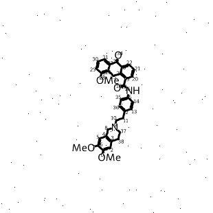 COc1cc2c(cc1OC)CN(CCc1ccc(NC(=O)c3cccc4c3Cc3c(OC)cccc3C4=O)cc1)CC2